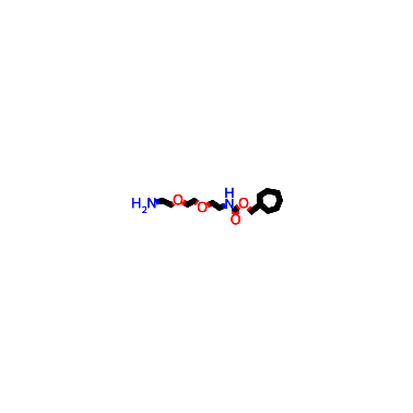 NCCOCCOCCNC(=O)OCC1CCCCCC1